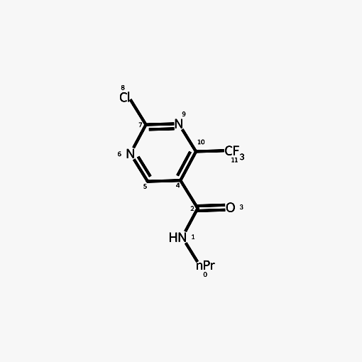 CCCNC(=O)c1cnc(Cl)nc1C(F)(F)F